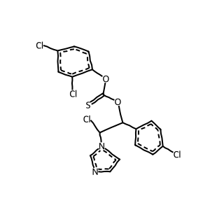 S=C(Oc1ccc(Cl)cc1Cl)OC(c1ccc(Cl)cc1)C(Cl)n1ccnc1